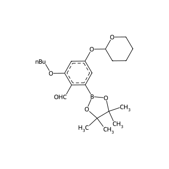 CCCCOc1cc(OC2CCCCO2)cc(B2OC(C)(C)C(C)(C)O2)c1C=O